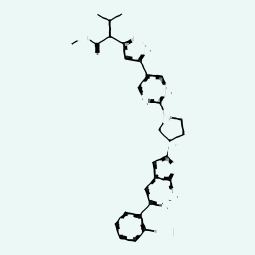 COC(=O)C(c1cc(-c2cnc(N3CC[C@@H](c4cc5cc(-c6ccccc6O)nnc5s4)C3)nc2)no1)C(C)C